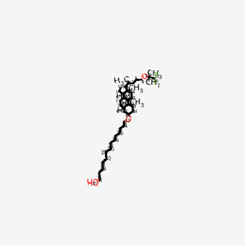 C[C@H](CCCOC(C)(C)C(F)F)[C@H]1CC[C@H]2[C@@H]3CC[C@@H]4C[C@H](OCCCCCCCCCCCCCCO)CC[C@]4(C)[C@H]3CC[C@]12C